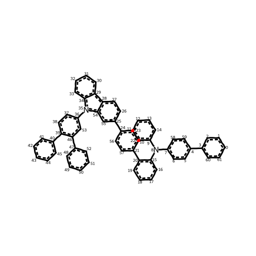 c1ccc(-c2ccc(N(c3ccccc3)c3ccccc3-c3ccc(-c4ccc5c6ccccc6n(-c6ccc(-c7ccccc7)c(-c7ccccc7)c6)c5c4)cc3)cc2)cc1